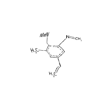 C=Cc1cc(C)c(NC)c(N=C)c1